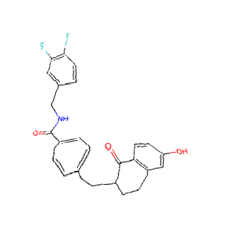 O=C(NCc1ccc(F)c(F)c1)c1ccc(CC2CCc3cc(O)ccc3C2=O)cc1